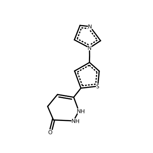 O=C1CC=C(c2cc(-n3ccnc3)cs2)NN1